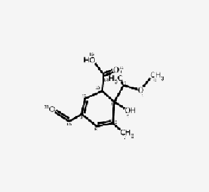 COC(C)C1(O)C(C)=CC(C=O)=CC1C(=O)O